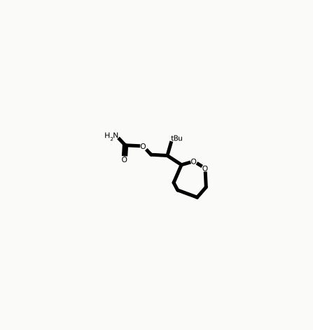 CC(C)(C)C(COC(N)=O)C1CCCCOO1